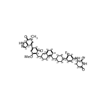 COc1cc(-c2cn(C)c(=O)c3[nH]ncc23)cc(Cl)c1CC1CCc2c(CC3CCN(c4ccc(NC5CCC(=O)NC5=O)cc4F)CC3)cccc2C1